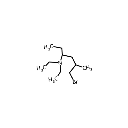 CCC(CC(C)CBr)N(CC)CC